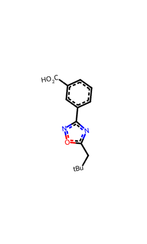 CC(C)(C)Cc1nc(-c2cccc(C(=O)O)c2)no1